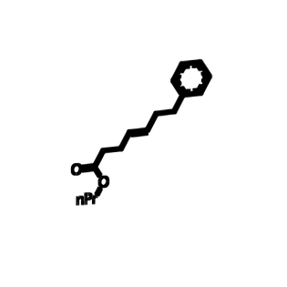 CCCOC(=O)CCC=CCCc1ccccc1